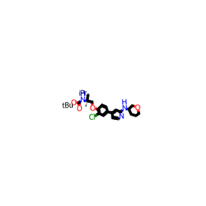 CC(C)C[C@@](C)(COc1ccc(-c2ccnc(NC3CCCOC3)c2)cc1Cl)NC(=O)OC(C)(C)C